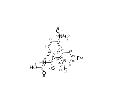 O=C(O)NC1=N[C@@]2(c3cc([N+](=O)[O-])ccc3F)CC[C@H](F)C[C@H]2CS1